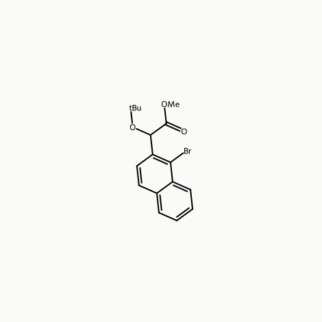 COC(=O)C(OC(C)(C)C)c1ccc2ccccc2c1Br